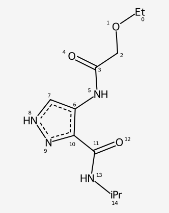 CCOCC(=O)Nc1c[nH]nc1C(=O)NC(C)C